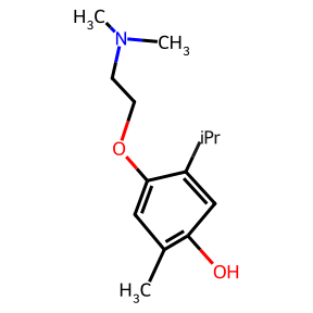 Cc1cc(OCCN(C)C)c(C(C)C)cc1O